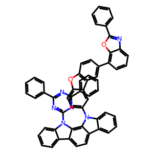 c1ccc(-c2nc(-c3ccccc3)nc(-n3c4ccccc4c4ccc5c6ccccc6n(-c6ccc7oc8ccc(-c9cccc%10nc(-c%11ccccc%11)oc9%10)cc8c7c6)c5c43)n2)cc1